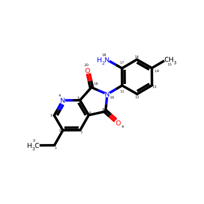 CCc1cnc2c(c1)C(=O)N(c1ccc(C)cc1N)C2=O